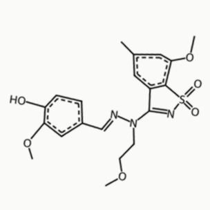 COCCN(N=Cc1ccc(O)c(OC)c1)C1=NS(=O)(=O)c2c(OC)cc(C)cc21